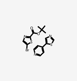 CC(C)(C)OC(=O)c1ncc(Br)s1.c1cc(-c2cncs2)ccn1